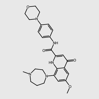 COc1cc(N2CCCN(C)CC2)c2[nH]c(C(=O)Nc3ccc(N4CCOCC4)cc3)cc(=O)c2c1